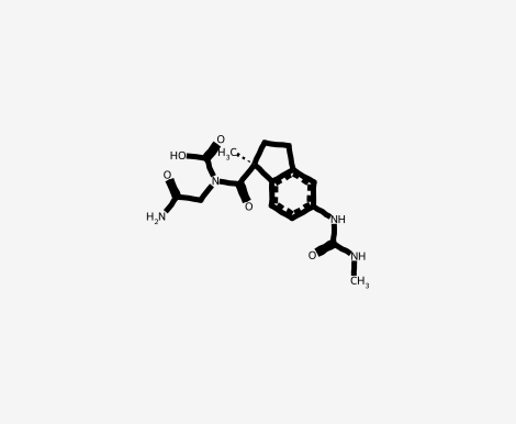 CNC(=O)Nc1ccc2c(c1)CC[C@]2(C)C(=O)N(CC(N)=O)C(=O)O